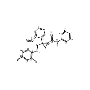 COc1ccccc1C1(COc2cnc(C)nc2C)CC1C(=O)Nc1cccnc1